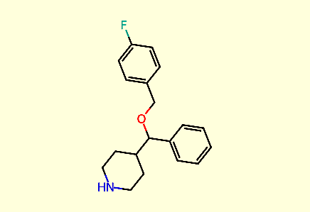 Fc1ccc(COC(c2ccccc2)C2CCNCC2)cc1